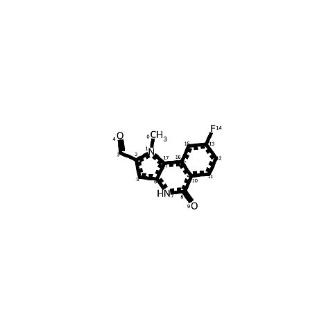 Cn1c(C=O)cc2[nH]c(=O)c3ccc(F)cc3c21